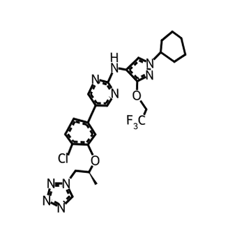 C[C@@H](Cn1cnnn1)Oc1cc(-c2cnc(Nc3cn(C4CCCCC4)nc3OCC(F)(F)F)nc2)ccc1Cl